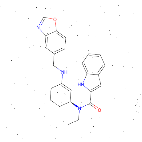 CCN(C(=O)c1cc2ccccc2[nH]1)[C@@H]1C=C(NCc2ccc3ocnc3c2)CCC1